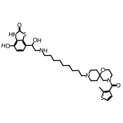 Cc1sccc1C(=O)N1CCOC2(CCN(CCCCCCCCCNCC(O)c3ccc(O)c4[nH]c(=O)sc34)CC2)C1